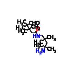 CC(C)(N)CC(C)(C)CNC(=O)CC(C)(C)C(C)(C)C=O